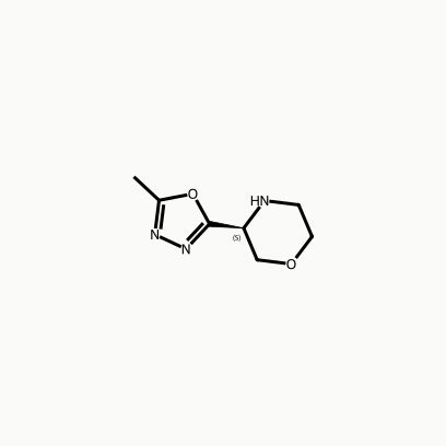 Cc1nnc([C@@H]2COCCN2)o1